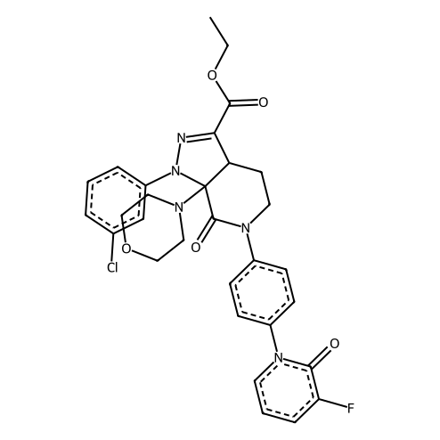 CCOC(=O)C1=NN(c2cccc(Cl)c2)C2(N3CCOCC3)C(=O)N(c3ccc(-n4cccc(F)c4=O)cc3)CCC12